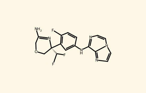 NC1=N[C@](c2cc(Nc3nccn4ccnc34)ccc2F)(C(F)F)COC1